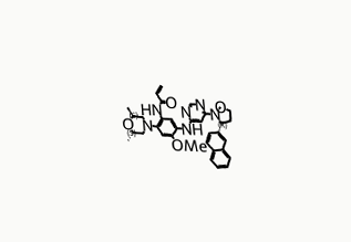 C=CC(=O)Nc1cc(Nc2cc(N3OCC[C@@H]3c3ccc4ccccc4c3)ncn2)c(OC)cc1N1C[C@H](C)O[C@@H](C)C1